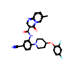 Cc1ccc2ncc(C(=O)Nc3cc(C#N)ccc3N3CCC(Oc4ccc(F)cc4F)CC3)c(=O)n2c1